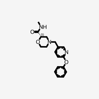 CNC(=O)[C@@H]1CN(Cc2ccc(Oc3ccccc3)nc2)CCO1